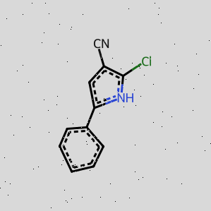 N#Cc1cc(-c2ccccc2)[nH]c1Cl